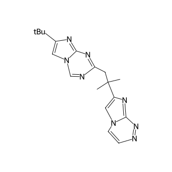 CC(C)(C)c1cn2cnc(CC(C)(C)c3cn4ccnnc4n3)nc2n1